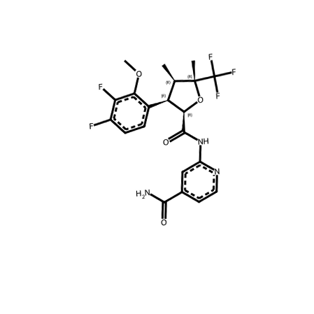 COc1c([C@H]2[C@@H](C)[C@](C)(C(F)(F)F)O[C@H]2C(=O)Nc2cc(C(N)=O)ccn2)ccc(F)c1F